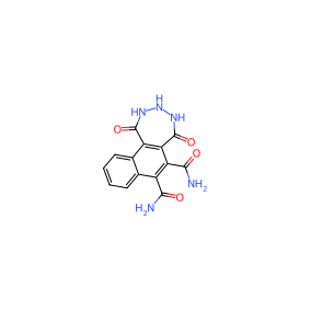 NC(=O)c1c2c(c3ccccc3c1C(N)=O)C(=O)NNNC2=O